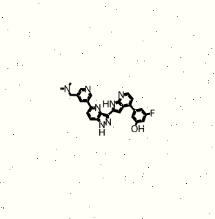 CN(C)Cc1cncc(-c2ccc3[nH]nc(-c4cc5c(-c6cc(O)cc(F)c6)ccnc5[nH]4)c3n2)c1